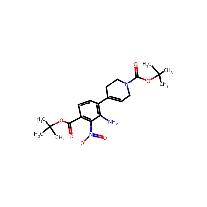 CC(C)(C)OC(=O)c1ccc(C2=CCN(C(=O)OC(C)(C)C)CC2)c(N)c1[N+](=O)[O-]